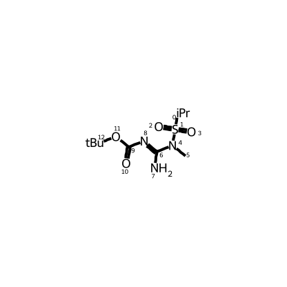 CC(C)S(=O)(=O)N(C)/C(N)=N/C(=O)OC(C)(C)C